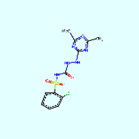 COc1nc(C)nc(NNC(=O)NS(=O)(=O)c2ccccc2Cl)n1